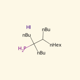 CCCCCCC(CCCC)C(P)(CCCC)CCCC.I